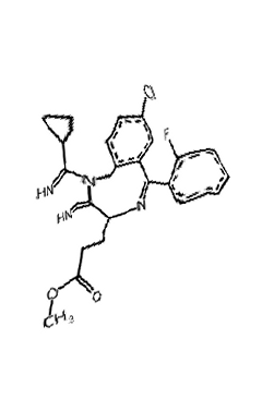 COC(=O)CCC1N=C(c2ccccc2F)c2cc(Cl)ccc2N(C(=N)C2CC2)C1=N